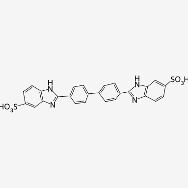 O=S(=O)(O)c1ccc2[nH]c(-c3ccc(-c4ccc(-c5nc6ccc(S(=O)(=O)O)cc6[nH]5)cc4)cc3)nc2c1